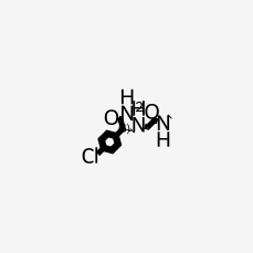 CNC(=O)CNC[C@@H](C(N)=O)c1ccc(Cl)cc1